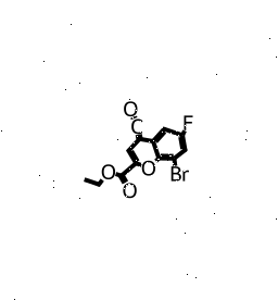 CCOC(=O)C1=CC(=C=O)c2cc(F)cc(Br)c2O1